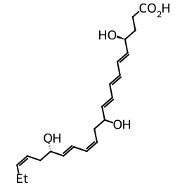 CC/C=C\C[C@H](O)/C=C/C=C\CC(O)/C=C/C=C/C=C[C@@H](O)CCC(=O)O